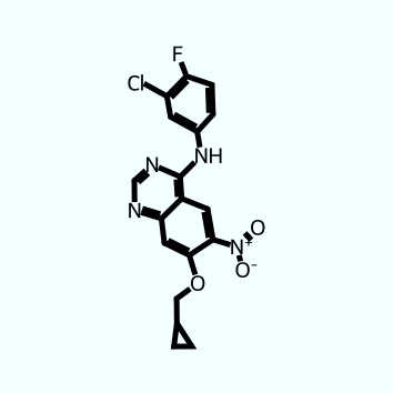 O=[N+]([O-])c1cc2c(Nc3ccc(F)c(Cl)c3)ncnc2cc1OCC1CC1